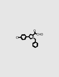 O=CC(=O)C1CC(c2ccc(Cl)cc2)CN1Cc1ccccc1